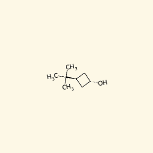 CC(C)(C)[C@H]1C[C@H](O)C1